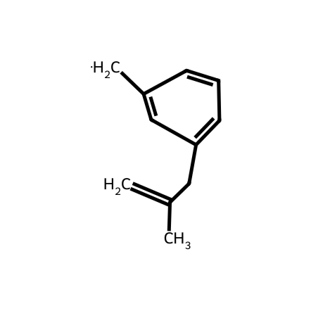 [CH2]c1cccc(CC(=C)C)c1